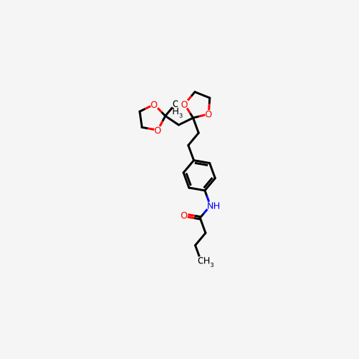 CCCC(=O)Nc1ccc(CCC2(CC3(C)OCCO3)OCCO2)cc1